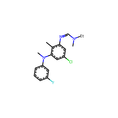 CCN(C)/C=N\c1cc(Cl)cc(N(C)c2cccc(F)c2)c1C